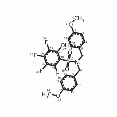 COc1ccc(CN(Cc2ccc(OC)cc2)S(=O)(=O)c2c(O)c(F)c(F)c(F)c2F)cc1